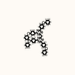 c1ccc(Oc2ccc(-c3nc(Cc4nc(-c5ccc(Oc6ccccc6)cc5)nc(-c5ccc(Oc6ccccc6)cc5)n4)nc(-c4ccc(Oc5ccccc5)cc4)n3)cc2)cc1